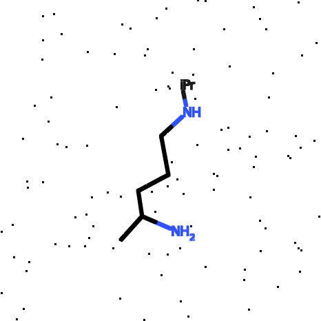 CC(N)CCCNC(C)C